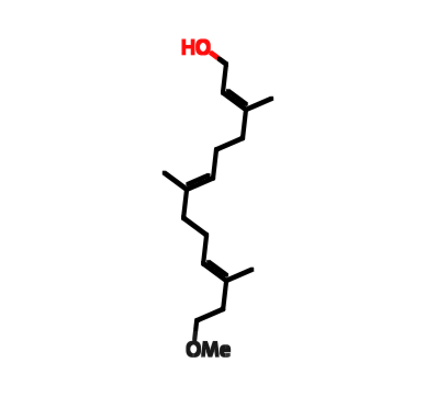 COCCC(C)=CCCC(C)=CCCC(C)=CCO